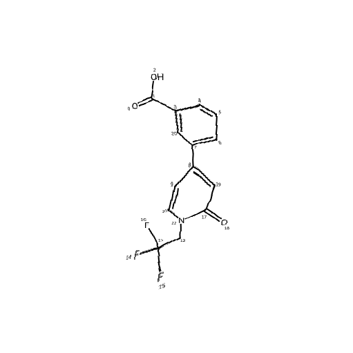 O=C(O)c1cccc(-c2ccn(CC(F)(F)F)c(=O)c2)c1